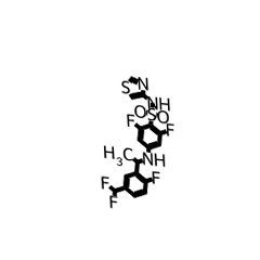 CC(Nc1cc(F)c(S(=O)(=O)Nc2cscn2)c(F)c1)c1cc(C(F)F)ccc1F